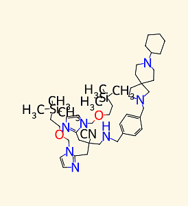 C[Si](C)(C)CCOCn1ccnc1CC(C#N)(CNCc1ccc(CN2CCC3(CCN(C4CCCCC4)CC3)C2)cc1)Cc1nccn1COCC[Si](C)(C)C